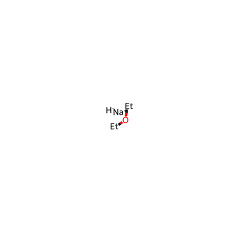 CCOCC.[H-].[Na+]